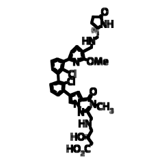 COc1nc(-c2cccc(-c3cccc(-c4cc5c(=O)n(C)c(CNC[C@H](O)CC(=O)O)nn5c4)c3Cl)c2Cl)ccc1CNC[C@@H]1CCC(=O)N1